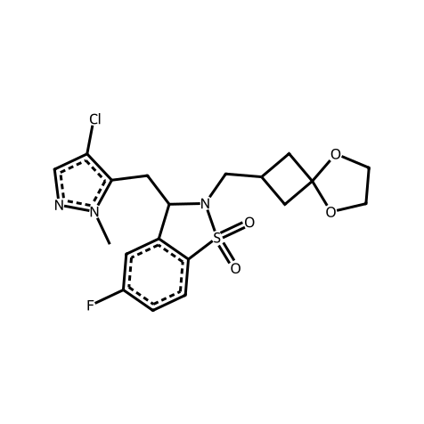 Cn1ncc(Cl)c1CC1c2cc(F)ccc2S(=O)(=O)N1CC1CC2(C1)OCCO2